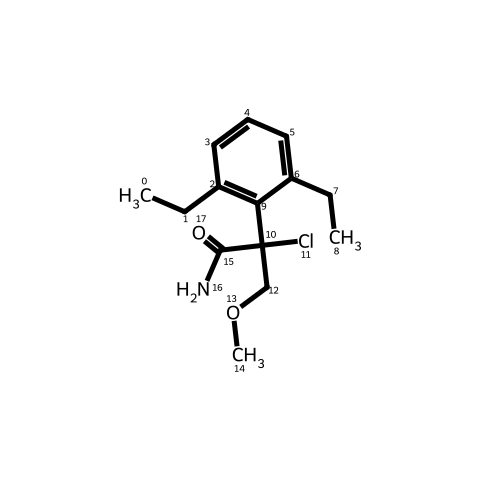 CCc1cccc(CC)c1C(Cl)(COC)C(N)=O